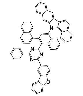 c1ccc(-c2nc(-c3ccc4oc5ccccc5c4c3)nc(-c3c(-c4cccc5ccccc45)cc(-n4c5cc6ccccc6cc5c5ccc6ccccc6c54)c4ccccc34)n2)cc1